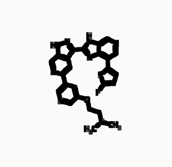 CN(C)CCOc1cncc(-c2cc3c(-c4nc5c(-c6ccc(F)s6)cncc5[nH]4)n[nH]c3cn2)c1